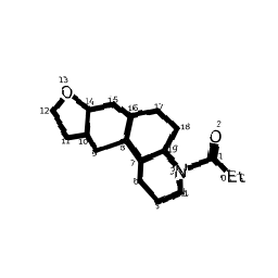 CCC(=O)N1CCCC2C3CC4CCOC4CC3CCC21